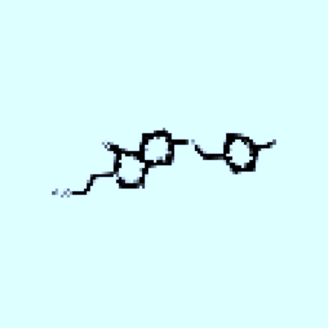 COCCn1cnc2cc(OCc3ccc(F)cc3)ccc2c1=O